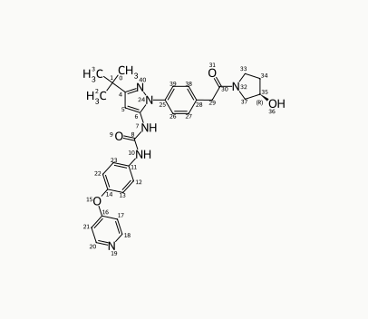 CC(C)(C)c1cc(NC(=O)Nc2ccc(Oc3ccncc3)cc2)n(-c2ccc(CC(=O)N3CC[C@@H](O)C3)cc2)n1